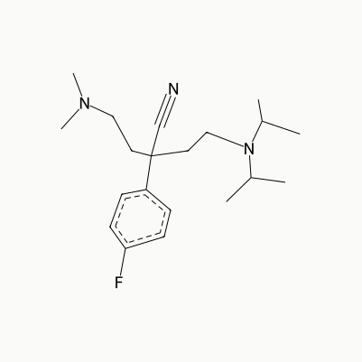 CC(C)N(CCC(C#N)(CCN(C)C)c1ccc(F)cc1)C(C)C